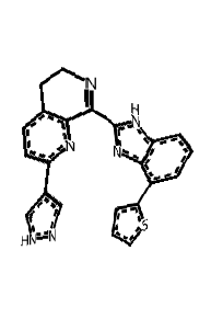 c1csc(-c2cccc3[nH]c(C4=NCCc5ccc(-c6cn[nH]c6)nc54)nc23)c1